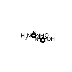 Nc1cnc2[nH]c(-c3cccc(C(=O)O)c3)nc2c1